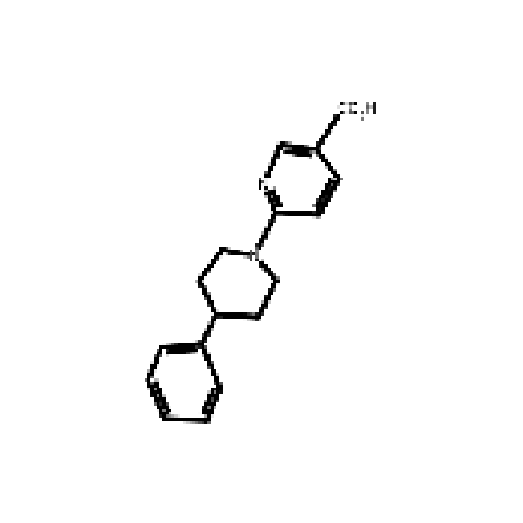 O=C(O)c1ccc(N2CCC(c3ccccc3)CC2)nc1